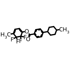 CC1=CC=C(OC(=O)c2ccc(C3CCC(C)CC3)cc2)C(F)(F)C1(F)F